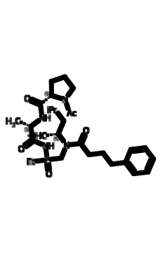 CCP(=O)(CN(C(=O)CCCc1ccccc1)[C@H]([C]=O)CC(C)C)NC(=O)[C@H](C)NC(=O)[C@@H]1CCCN1C(C)=O